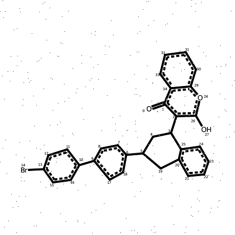 O=c1c(C2CC(c3ccc(-c4ccc(Br)cc4)cc3)Cc3ccccc32)c(O)oc2ccccc12